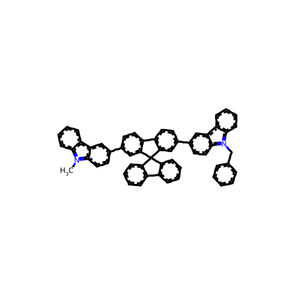 Cn1c2ccccc2c2cc(-c3ccc4c(c3)C3(c5ccccc5-c5ccccc53)c3cc(-c5ccc6c(c5)c5ccccc5n6Cc5ccccc5)ccc3-4)ccc21